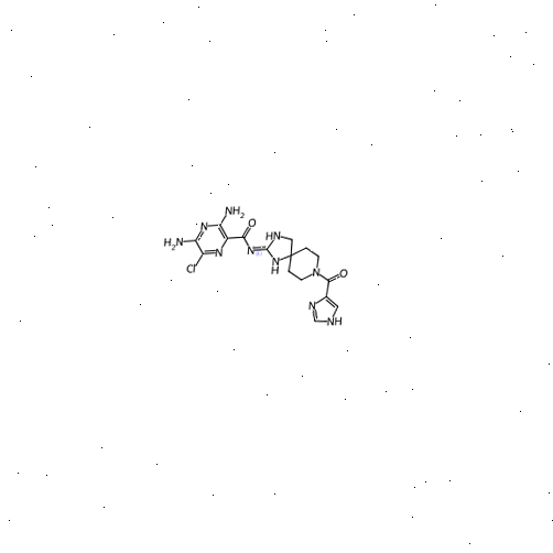 Nc1nc(N)c(C(=O)/N=C2\NCC3(CCN(C(=O)c4c[nH]cn4)CC3)N2)nc1Cl